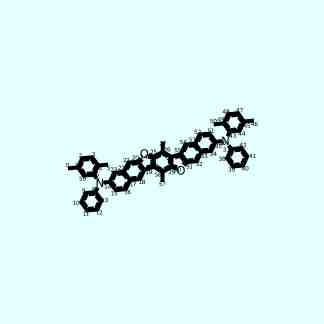 Cc1ccc(C)c(N(c2ccccc2)c2ccc3cc4c(cc3c2)oc2c(C)c3c(oc5cc6cc(N(c7ccccc7)c7cc(C)ccc7C)ccc6cc53)c(C)c24)c1